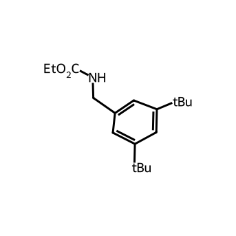 CCOC(=O)NCc1cc(C(C)(C)C)cc(C(C)(C)C)c1